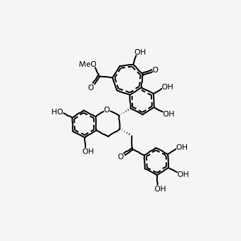 COC(=O)c1cc(O)c(=O)c2c(O)c(O)cc([C@H]3Oc4cc(O)cc(O)c4C[C@H]3CC(=O)c3cc(O)c(O)c(O)c3)c2c1